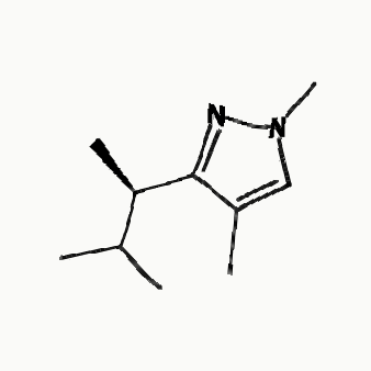 Cc1cn(C)nc1[C@H](C)C(C)C